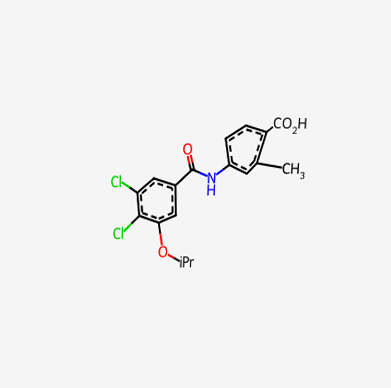 Cc1cc(NC(=O)c2cc(Cl)c(Cl)c(OC(C)C)c2)ccc1C(=O)O